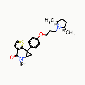 CC(C)N1C(=O)c2ccsc2C2(c3ccc(OCCCN4[C@H](C)CC[C@H]4C)cc3)CC12